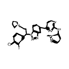 Cn1nccc1Nc1nccc(-c2ccc3c(c2)nnn3C(CN2CCCC2)c2ccc(Cl)c(F)c2)n1